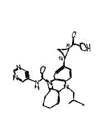 CC(C)CN(c1ccc([C@H]2C[C@H]2C(=O)O)cc1NC(=O)Nc1cncnc1)C1CCCCC1